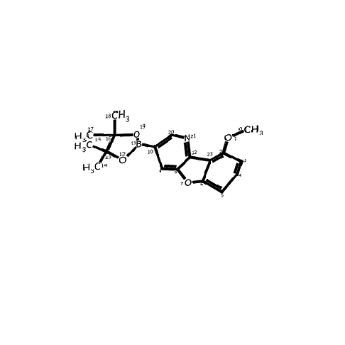 COc1cccc2oc3cc(B4OC(C)(C)C(C)(C)O4)cnc3c12